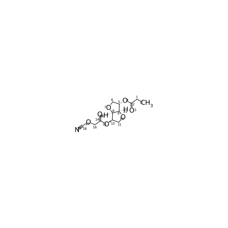 CCC(=O)O[C@H]1CO[C@H]2[C@@H]1OC[C@H]2OC(=O)COC#N